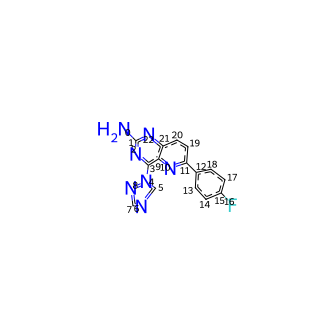 Nc1nc(-n2cncn2)c2nc(-c3ccc(F)cc3)ccc2n1